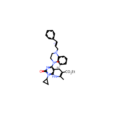 CCOC(=O)C1=C(C)Nc2c(c(N3CCN(C/C=C/c4ccccc4)CC3)nc(=O)n2C2CC2)[C@@H]1c1ccccc1